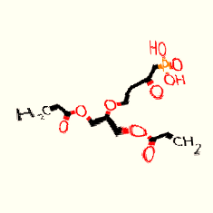 C=CC(=O)OCC(COC(=O)C=C)OCCC(=O)CP(=O)(O)O